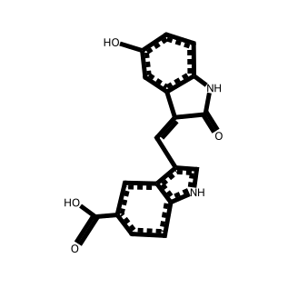 O=C1Nc2ccc(O)cc2C1=Cc1c[nH]c2ccc(C(=O)O)cc12